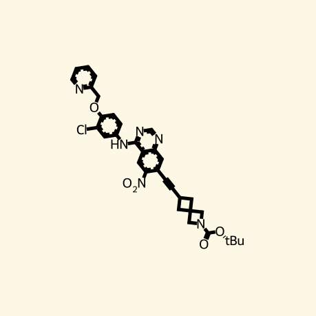 CC(C)(C)OC(=O)N1CC2(CC(C#Cc3cc4ncnc(Nc5ccc(OCc6ccccn6)c(Cl)c5)c4cc3[N+](=O)[O-])C2)C1